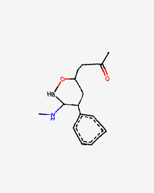 CNC1BOC(CC(C)=O)CC1c1ccccc1